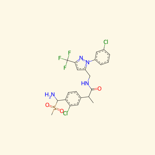 CC(C(=O)NCc1cc(C(F)(F)F)nn1-c1cccc(Cl)c1)c1ccc(C(N)S(C)(=O)=O)c(Cl)c1